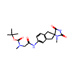 CN(CC(=O)Nc1ccc2c(c1)CC1(C2)C(=O)NC(=O)N1C)C(=O)OC(C)(C)C